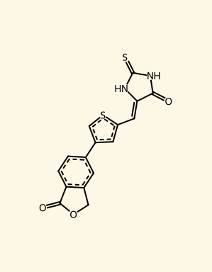 O=C1NC(=S)N/C1=C\c1cc(-c2ccc3c(c2)COC3=O)cs1